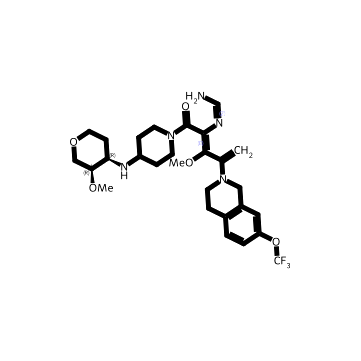 C=C(/C(OC)=C(\N=C/N)C(=O)N1CCC(N[C@@H]2CCOC[C@@H]2OC)CC1)N1CCc2ccc(OC(F)(F)F)cc2C1